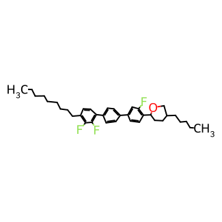 CCCCCCCCCc1ccc(-c2ccc(-c3ccc(C4CCC(CCCCC)CO4)c(F)c3)cc2)c(F)c1F